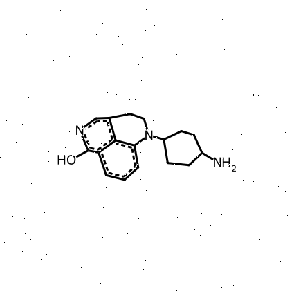 NC1CCC(N2CCc3cnc(O)c4cccc2c34)CC1